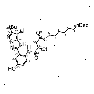 CCCCCCCCCCCCCCCCOC(=O)CC(CC)C(=O)Nc1ccc(O)cc1-c1nn2nc(C(C)(C)C)c(Cl)c2[nH]1